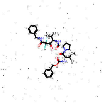 CC(C)C(NC(=O)[C@@H]1CCCN1C(=O)[C@@H](NC(=O)OCc1ccccc1)C(C)C)C(=O)C(F)(F)C(=O)NCc1ccccc1